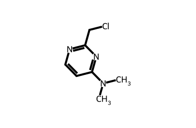 CN(C)c1ccnc(CCl)n1